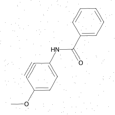 COc1c#cc(NC(=O)c2ccccc2)cc1